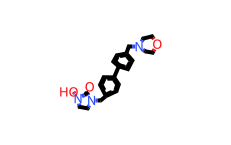 O=C1N(O)CCN1Cc1ccc(-c2ccc(CN3CCOCC3)cc2)cc1